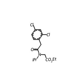 CCOC(=O)CN(C(=O)Cc1ccc(Cl)cc1Cl)C(C)C